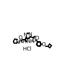 Cl.O=C(NN1CCCCC1)c1c[nH]c2c(C3=COC(c4cccc(OCC5CCC5)c4)O3)ncnc12